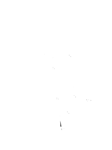 COn1c(N[C@H](c2ccc(Cl)cc2)C(C)C)nc2c(c1=O)CN(C(=O)c1cc3ccccc3cn1)CC2